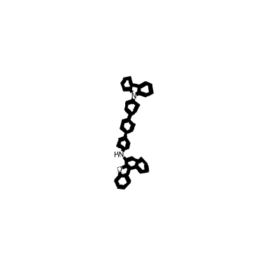 c1ccc2c(c1)cc(Nc1ccc(-c3ccc(-c4ccc(-n5c6ccccc6c6ccccc65)cc4)cc3)cc1)c1oc3ccccc3c12